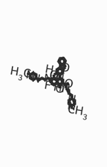 CN1CCN(CCCNC(=O)c2cn3c4c(c(NCCCN5CCN(C)CC5)c(F)cc4c2=O)Oc2cc4c(cc2-3)oc2ccccc24)CC1